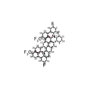 Fc1cc(F)c(N(c2ccccc2)c2ccc3ccc4c(N(c5ccccc5)c5c(F)cc(F)cc5-c5ccc(C(F)(F)F)cc5)ccc5ccc2c3c54)c(-c2ccc(C(F)(F)F)cc2)c1